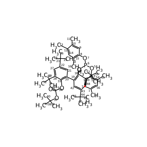 Cc1ccc(OP(Oc2cc(C)c(C)cc2C)Oc2c(-c3cc(C(C)(C)C)cc(C(C)(C)C)c3OC(=O)OC(C)(C)C)cc(C(C)(C)C)cc2C(C)(C)C)c(C)c1